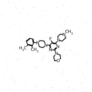 Cc1cccc(N2CCN(c3nc(N4CCOCC4)nc(N4CCN(C)CC4)c3F)CC2)c1C